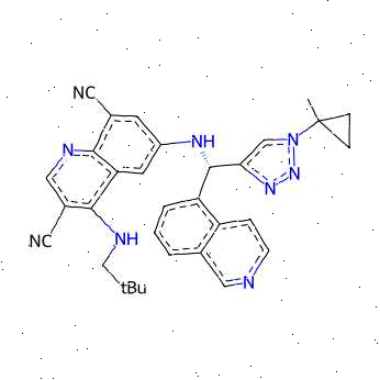 CC(C)(C)CNc1c(C#N)cnc2c(C#N)cc(N[C@H](c3cn(C4(C)CC4)nn3)c3cccc4cnccc34)cc12